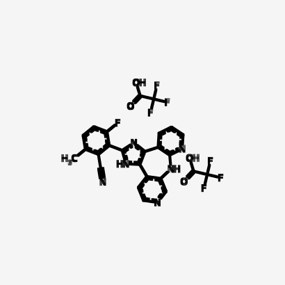 Cc1ccc(F)c(-c2nc3c([nH]2)-c2ccncc2Nc2ncccc2-3)c1C#N.O=C(O)C(F)(F)F.O=C(O)C(F)(F)F